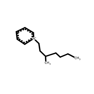 CCCCC(C)CC[n+]1ccccc1